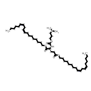 CCCCC/C=C\C/C=C\CCCCCCCCOC(=O)CC[C@H](NC(=O)OCCCN(C)C)C(=O)OCCCCCCCC/C=C\C/C=C\CCCCC